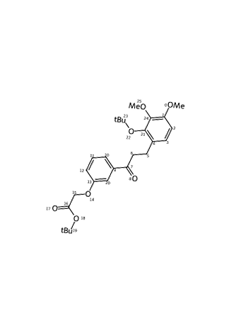 COc1ccc(CCC(=O)c2cccc(OCC(=O)OC(C)(C)C)c2)c(OC(C)(C)C)c1OC